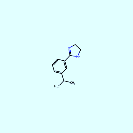 CC(C)c1cccc(C2=NCCN2)c1